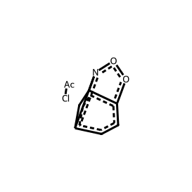 CC(=O)Cl.c1cc2cc3c1oon2-3